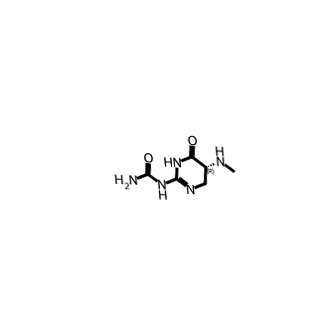 CN[C@@H]1CN=C(NC(N)=O)NC1=O